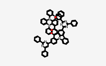 c1ccc(-c2cc(-c3ccc(-n4c5ccccc5c5cc(-c6nc(-c7ccccc7)nc(-c7ccccc7)n6)ccc54)c(-c4ccc(-c5ccc6c7c5N(c5ccccc5)c5ccccc5B7c5ccccc5N6c5ccccc5)cc4)c3)nc(-c3ccccc3)n2)cc1